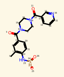 Cc1cc(C(=O)N2CCN(C(=O)c3cccnc3)CC2)ccc1N[SH](=O)=O